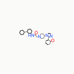 O=C(CN1CCC(n2ccnc2C2=CC=CCC2=O)CC1)Nc1cccc(-c2ccccc2)c1